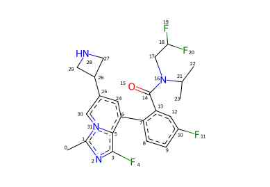 Cc1nc(F)c2c(-c3ccc(F)cc3C(=O)N(CC(F)F)C(C)C)cc(C3CNC3)cn12